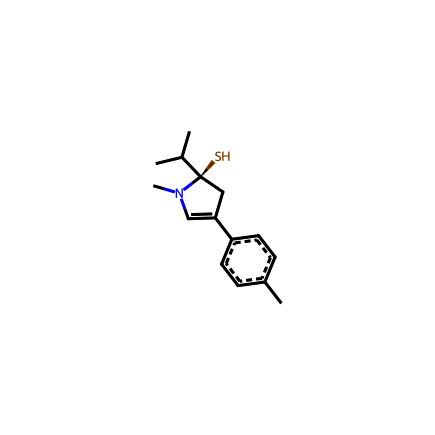 Cc1ccc(C2=CN(C)[C@](S)(C(C)C)C2)cc1